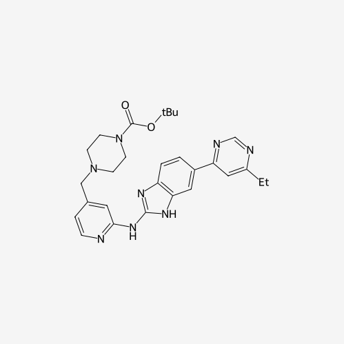 CCc1cc(-c2ccc3nc(Nc4cc(CN5CCN(C(=O)OC(C)(C)C)CC5)ccn4)[nH]c3c2)ncn1